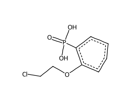 O=P(O)(O)c1ccccc1OCCCl